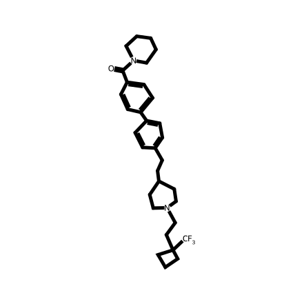 O=C(c1ccc(-c2ccc(CCC3CCN(CCC4(C(F)(F)F)CCC4)CC3)cc2)cc1)N1CCCCC1